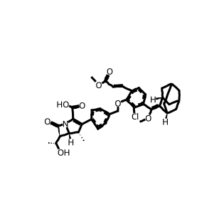 COC(=O)/C=C/c1ccc(C(OC)=C2[C@H]3CC4CC(C3)C[C@@H]2C4)c(Cl)c1OCc1ccc(C2=C(C(=O)O)N3C(=O)[C@H]([C@@H](C)O)[C@H]3[C@H]2C)cc1